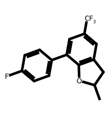 CC1Cc2cc(C(F)(F)F)cc(-c3ccc(F)cc3)c2O1